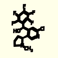 CN1CCC[C@H]1c1cnc(Cl)cc1[C@@H](O)c1c(F)c(F)c(F)c(F)c1F